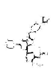 COc1ncc(-c2nc(N3CCOCC3)nc3c(CN4CCN(C5COC5)CC4)csc23)cc1NS(=O)O